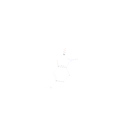 Cn1c(=O)oc2cc([N+](=O)[O-])ccc21